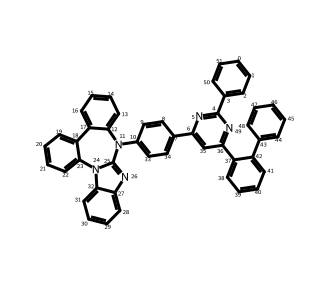 c1ccc(-c2nc(-c3ccc(N4c5ccccc5-c5ccccc5-n5c4nc4ccccc45)cc3)cc(-c3ccccc3-c3ccccc3)n2)cc1